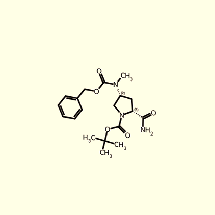 CN(C(=O)OCc1ccccc1)[C@@H]1C[C@H](C(N)=O)N(C(=O)OC(C)(C)C)C1